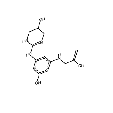 O=C(O)CNc1cc(O)cc(NC2=NCC(O)CN2)c1